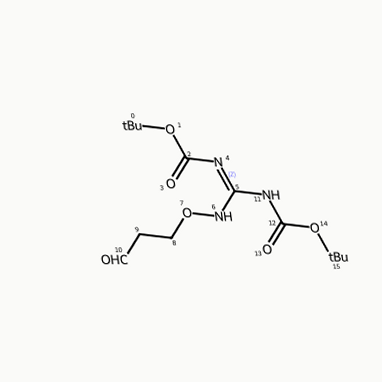 CC(C)(C)OC(=O)/N=C(\NOCCC=O)NC(=O)OC(C)(C)C